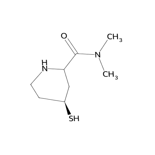 CN(C)C(=O)C1C[C@@H](S)CCN1